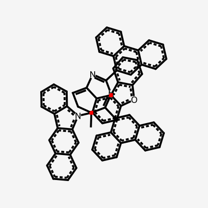 CC1C/C=C(c2c(-n3c4ccccc4c4cc5ccccc5cc43)ccc3oc4ccccc4c23)/N=C(c2cc3ccccc3c3ccccc23)\N=C/1c1cc2ccccc2c2ccccc12